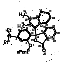 CCCCCOc1cc(N(CC)CC)ccc1C1(c2c(C)n(C)c3ccccc23)OC(=O)c2ncccc21